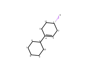 I[C@@H]1CC=C(C2CCCCC2)CC1